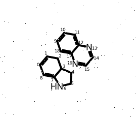 C1=CCC2CCNC2=C1.c1ccc2nccnc2c1